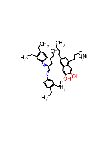 CCCCC(C=Nc1ccc(CC)c(CC)c1)=Nc1ccc(CC)c(CC)c1.CCCCc1cc(CCC)c2cc(O)c(O)cc2c1.[Ni]